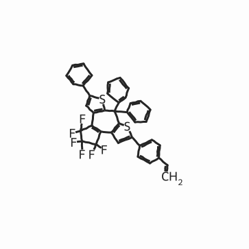 C=Cc1ccc(-c2cc3c(s2)C(c2ccccc2)(c2ccccc2)c2sc(-c4ccccc4)cc2C2=C3C(F)(F)C(F)(F)C2(F)F)cc1